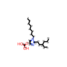 CCCCCCCCn1ccnc1CCC(CC)CCC.O=C(O)O